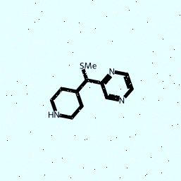 CSC(c1cnccn1)C1CCNCC1